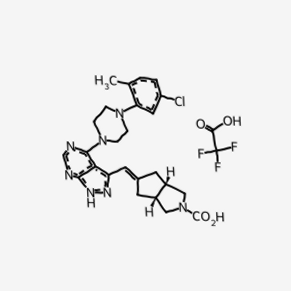 Cc1ccc(Cl)cc1N1CCN(c2ncnc3[nH]nc(/C=C4/C[C@@H]5CN(C(=O)O)C[C@@H]5C4)c23)CC1.O=C(O)C(F)(F)F